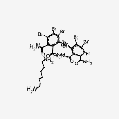 NC(=O)c1c(Br)c(Br)c(Br)c(Br)c1C(N)=O.NC(=O)c1c(Br)c(Br)c(Br)c(Br)c1C(N)=O.NCCCCCCN